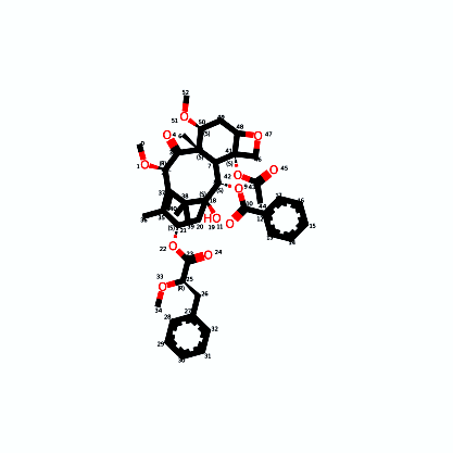 CO[C@H]1C(=O)[C@@]2(C)C([C@H](OC(=O)c3ccccc3)[C@]3(O)C[C@H](OC(=O)[C@@H](Cc4ccccc4)OC)C(C)=C1C3(C)C)[C@]1(OC(C)=O)COC1C[C@@H]2OC